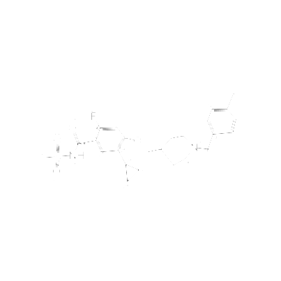 Cc1ccc(CN2CCC(COc3cc(F)c(C(=O)NS(C)(=O)=O)cc3C3CC3)CC2)cc1